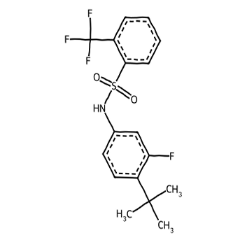 CC(C)(C)c1ccc(NS(=O)(=O)c2ccccc2C(F)(F)F)cc1F